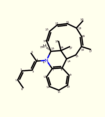 C/C=C\C=C(/C)N1C2=C(C=CCC=C2)C2C/C(C)=C\C(C)/C=C\C=C[C@H]1C2(C)C